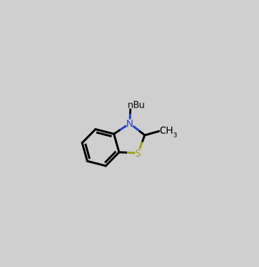 CCCCN1c2ccccc2SC1C